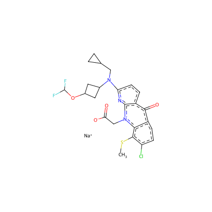 CSc1c(Cl)ccc2c(=O)c3ccc(N(CC4CC4)C4CC(OC(F)F)C4)nc3n(CC(=O)[O-])c12.[Na+]